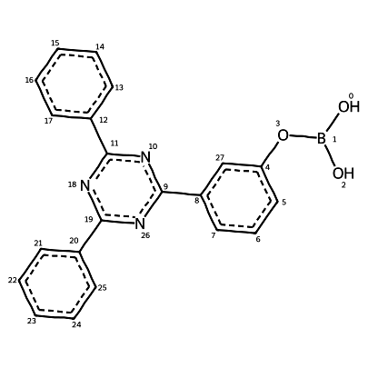 OB(O)Oc1cccc(-c2nc(-c3ccccc3)nc(-c3ccccc3)n2)c1